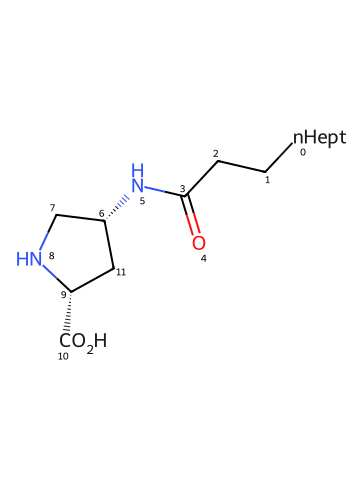 CCCCCCCCCC(=O)N[C@H]1CN[C@@H](C(=O)O)C1